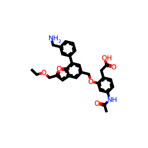 CCOCc1cc2cc(COc3cc(NC(C)=O)ccc3CC(=O)O)cc(-c3cccc(CN)c3)c2o1